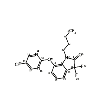 O=C1N(CCCC(F)(F)F)c2c(Oc3ncc(Cl)cn3)cccc2C1(F)F